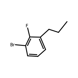 CCCc1cccc(Br)c1F